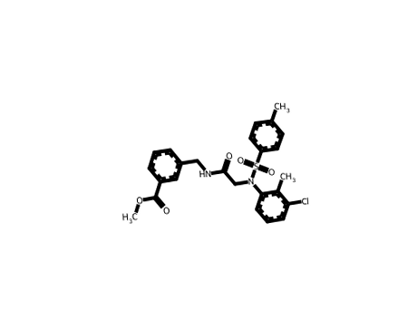 COC(=O)c1cccc(CNC(=O)CN(c2cccc(Cl)c2C)S(=O)(=O)c2ccc(C)cc2)c1